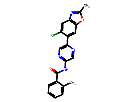 Cc1nc2cc(Cl)c(-c3cnc(NC(=O)c4ccccc4C)cn3)cc2o1